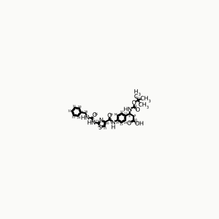 CC(C)(C)OC(=O)NC(CC(=O)O)c1ccc(NC(=O)c2csc(NC(=O)NCc3ccccc3)n2)cc1